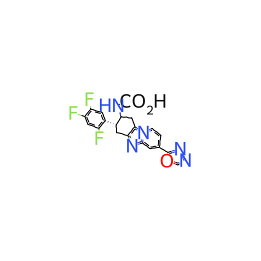 O=C(O)N[C@H]1Cc2c(nc3cc(-c4nnco4)ccn23)C[C@@H]1c1cc(F)c(F)cc1F